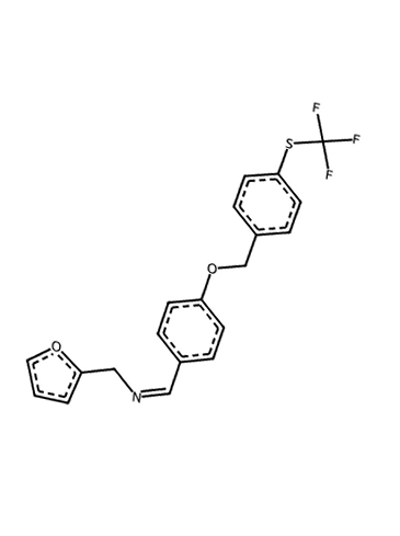 FC(F)(F)Sc1ccc(COc2ccc(/C=N\Cc3ccco3)cc2)cc1